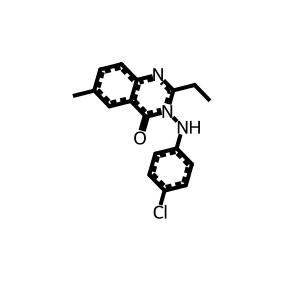 CCc1nc2ccc(C)cc2c(=O)n1Nc1ccc(Cl)cc1